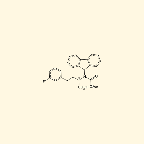 COC(=O)N(C1c2ccccc2-c2ccccc21)[C@@H](CCc1cccc(F)c1)C(=O)O